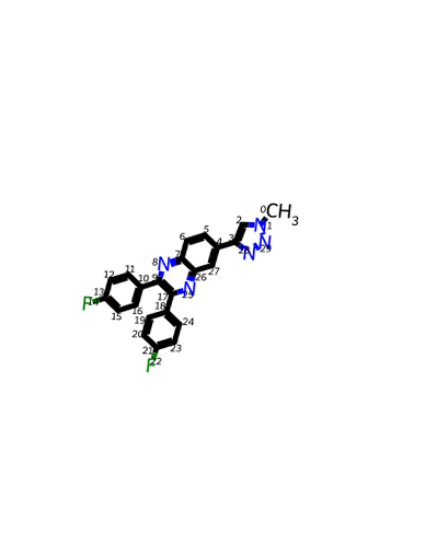 Cn1cc(-c2ccc3nc(-c4ccc(F)cc4)c(-c4ccc(F)cc4)nc3c2)nn1